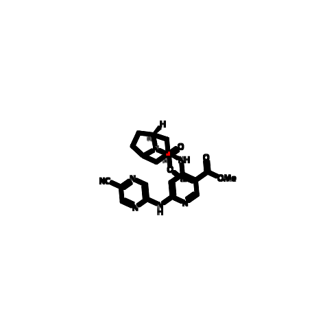 COC(=O)c1cnc(Nc2cnc(C#N)cn2)cc1N[C@H]1CC2CC[C@H](C1)N2C(=O)OC(C)(C)C